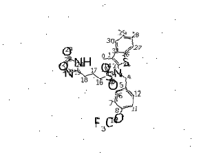 Cc1c(N(Cc2ccc(OC(F)(F)F)cc2)S(=O)(=O)CCCc2noc(=O)[nH]2)sc2ccccc12